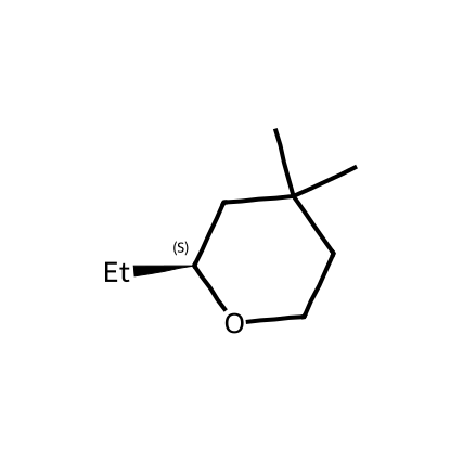 CC[C@H]1CC(C)(C)CCO1